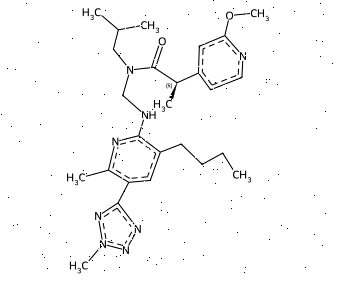 CCCCc1cc(-c2nnn(C)n2)c(C)nc1NCN(CC(C)C)C(=O)[C@H](C)c1ccnc(OC)c1